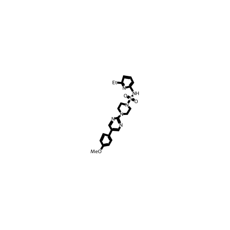 CCc1cccc(NS(=O)(=O)N2CCN(c3ncc(-c4ccc(OC)cc4)cn3)CC2)n1